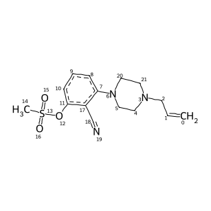 C=CCN1CCN(c2cccc(OS(C)(=O)=O)c2C#N)CC1